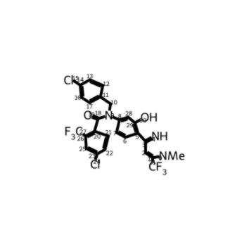 CN/C(=C\C(=N)c1ccc(N(Cc2ccc(Cl)cc2)C(=O)c2ccc(Cl)cc2C(F)(F)F)cc1O)C(F)(F)F